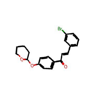 O=C(C=Cc1cccc(Br)c1)c1ccc(OC2CCCCO2)cc1